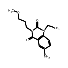 CCn1c(=O)n(CCCOC)c(=O)c2cc(N)ccc21